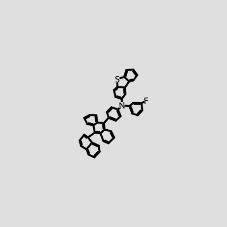 Fc1cccc(N(c2ccc(-c3c4ccccc4c(-c4cccc5ccccc45)c4ccccc34)cc2)c2ccc3sc4ccccc4c3c2)c1